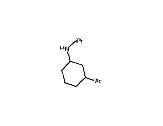 CC(=O)C1CCCC(NC(C)C)C1